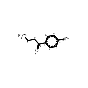 CC(C)c1ccc(C(=O)CCC(F)(F)F)cc1